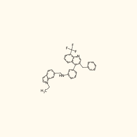 CCn1ccc2ccc(CNc3cccc(-c4c(Cc5ccccc5)cnc5c(C(F)(F)F)cccc45)c3)cc21